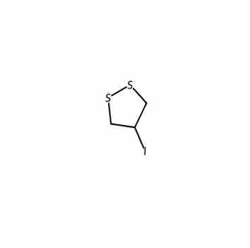 IC1CSSC1